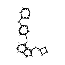 c1ccc(Oc2ccc(Oc3ncnc4ccn(CC5CNC5)c34)cc2)cc1